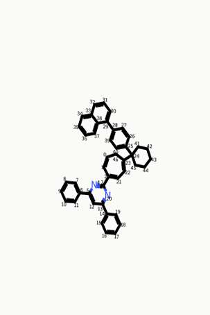 C1=CC(c2nc(-c3ccccc3)cc(-c3ccccc3)n2)=CC=C(C2(c3ccc(-c4cccc5ccccc45)cc3)CCCCC2)C1